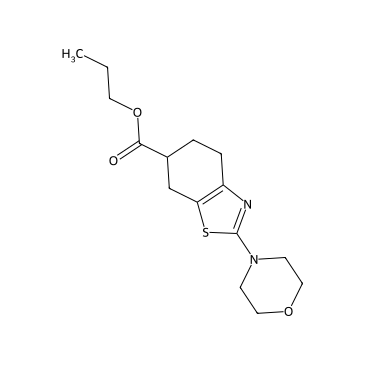 CCCOC(=O)C1CCc2nc(N3CCOCC3)sc2C1